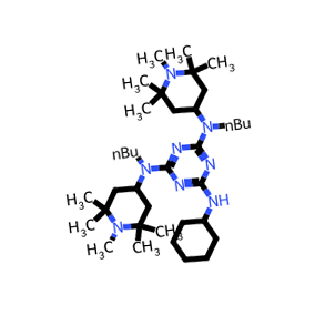 CCCCN(c1nc(NC2CCCCC2)nc(N(CCCC)C2CC(C)(C)N(C)C(C)(C)C2)n1)C1CC(C)(C)N(C)C(C)(C)C1